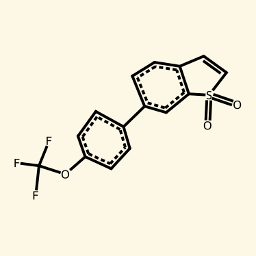 O=S1(=O)C=Cc2ccc(-c3ccc(OC(F)(F)F)cc3)cc21